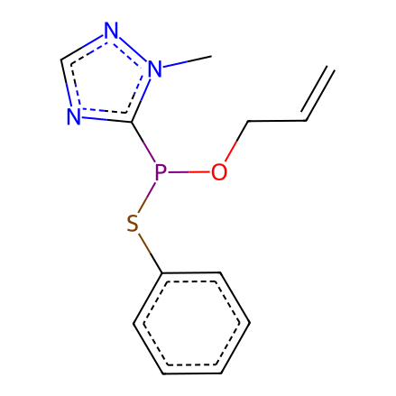 C=CCOP(Sc1ccccc1)c1ncnn1C